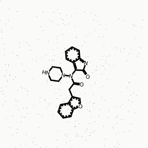 O=C1N=c2ccccc2=C1N(C(=O)Cc1coc2ccccc12)N1CCNCC1